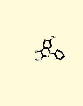 CCC(C(=O)OC)c1ccc(O)cc1Oc1ccccc1